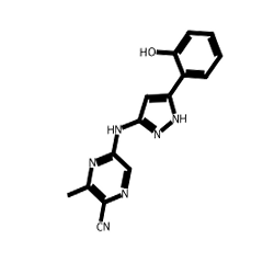 Cc1nc(Nc2cc(-c3ccccc3O)[nH]n2)cnc1C#N